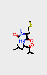 CSCCC(NC=O)C(=O)NC(CC(C)C)C(=O)C(C)C